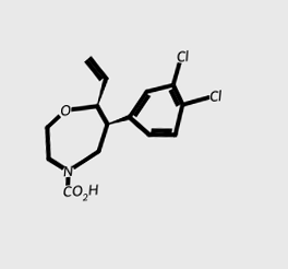 C=C[C@@H]1OCCN(C(=O)O)C[C@@H]1c1ccc(Cl)c(Cl)c1